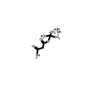 CC(C)(C)OC(=O)CC(=O)O.[KH].[LiH]